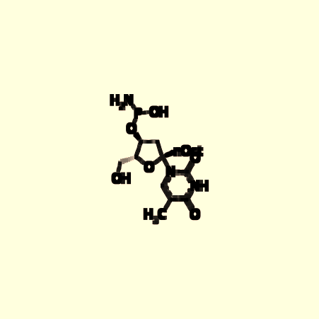 CCCCCCCC[C@]1(n2cc(C)c(=O)[nH]c2=O)C[C@H](OP(N)O)[C@@H](CO)O1